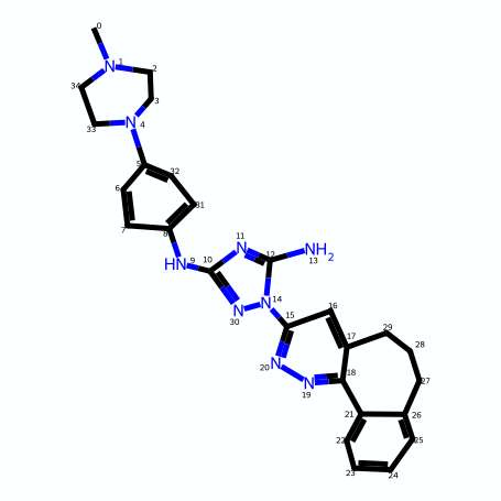 CN1CCN(c2ccc(Nc3nc(N)n(-c4cc5c(nn4)-c4ccccc4CCC5)n3)cc2)CC1